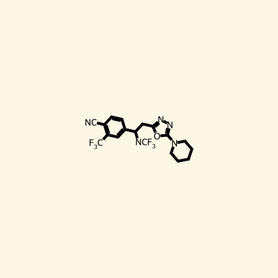 N#Cc1ccc(C(Cc2nnc(N3CCCCC3)o2)NC(F)(F)F)cc1C(F)(F)F